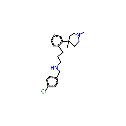 CN1CCC(C)(c2ccccc2CCCNCc2ccc(Cl)cc2)CC1